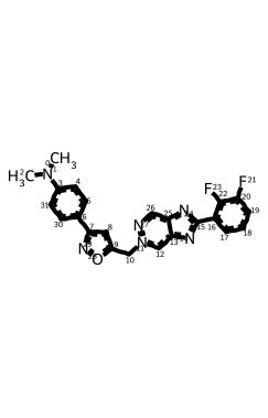 CN(C)c1ccc(-c2cc(Cn3cc4nc(-c5cccc(F)c5F)nc-4cn3)on2)cc1